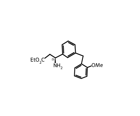 CCOC(=O)C[C@H](N)c1cccc(Cc2ccccc2OC)c1